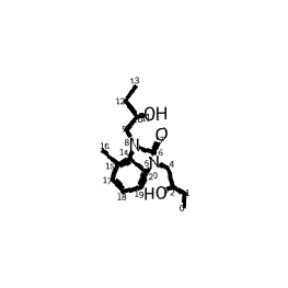 CCC(O)Cn1c(=O)n(CC(O)CC)c2c(C)cccc21